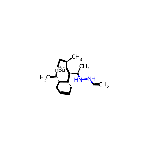 C=CNN[C@H](C)[C@H]([C@@H]1CC[C@H]1C)[C@@H]1CC=CC[C@@H]1C(C)CCCC